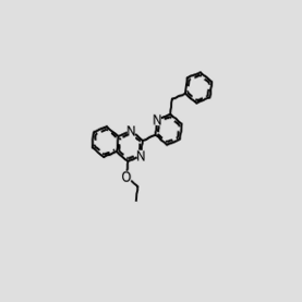 CCOc1nc(-c2cccc(Cc3ccccc3)n2)nc2ccccc12